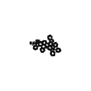 CC1(C)c2ccccc2-c2c(-c3ccccc3N(c3ccc4c(c3)-c3ccccc3C4(c3ccccc3)c3ccccc3)c3ccccc3-c3cccc4sc5ccccc5c34)cccc21